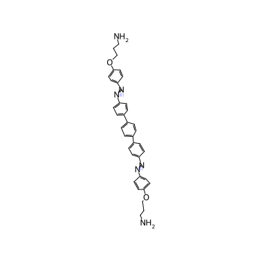 NCCCOc1ccc(/N=N/c2ccc(-c3ccc(-c4ccc(/N=N/c5ccc(OCCCN)cc5)cc4)cc3)cc2)cc1